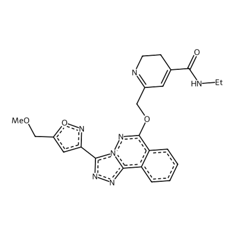 CCNC(=O)C1=CC(COc2nn3c(-c4cc(COC)on4)nnc3c3ccccc23)=NCC1